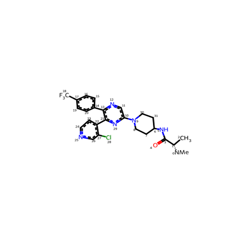 CN[C@@H](C)C(=O)NC1CCN(c2cnc(-c3ccc(C(F)(F)F)cc3)c(-c3ccncc3Cl)n2)CC1